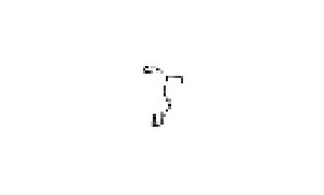 ClCCC(Cl)I